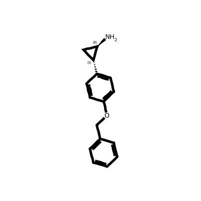 N[C@@H]1C[C@H]1c1ccc(OCc2ccccc2)cc1